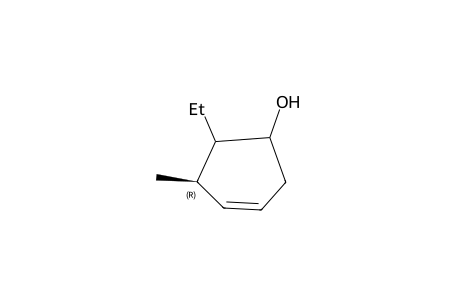 CCC1C(O)CC=C[C@H]1C